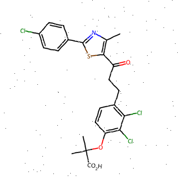 Cc1nc(-c2ccc(Cl)cc2)sc1C(=O)CCc1ccc(OC(C)(C)C(=O)O)c(Cl)c1Cl